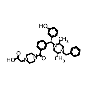 C[C@@H]1CN([C@@H](c2cccc(O)c2)c2cccc(C(=O)N3CCN(CC(=O)O)CC3)c2)[C@@H](C)CN1Cc1ccccc1